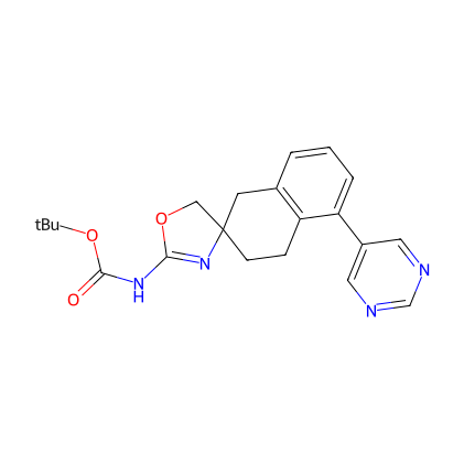 CC(C)(C)OC(=O)NC1=NC2(CCc3c(cccc3-c3cncnc3)C2)CO1